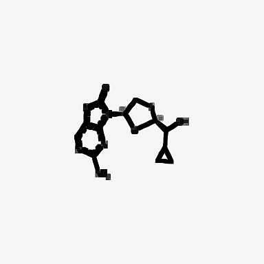 Nc1ncc2sc(=O)n([C@H]3CS[C@@H](C(O)C4CC4)O3)c2n1